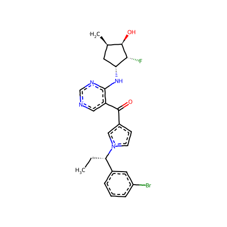 [CH2][C@@H]1C[C@@H](Nc2ncncc2C(=O)c2ccn([C@@H](CC)c3cccc(Br)c3)c2)[C@@H](F)[C@@H]1O